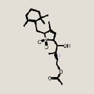 CC(=O)OC/C=C(\C)C(O)C1C=C(C)C(CC2=C(C)CCCC2(C)C)S1(=O)=O